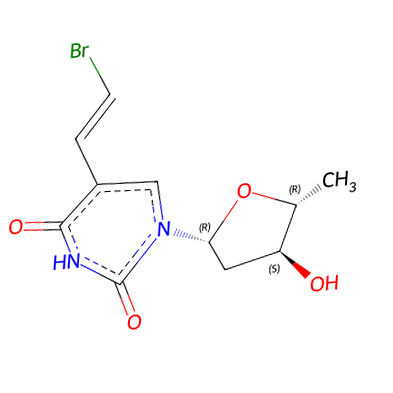 C[C@H]1O[C@@H](n2cc(C=CBr)c(=O)[nH]c2=O)C[C@@H]1O